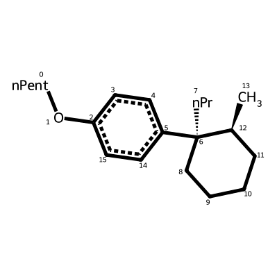 CCCCCOc1ccc([C@]2(CCC)CCCC[C@@H]2C)cc1